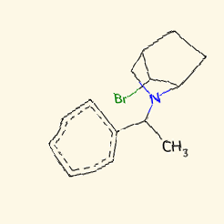 CC(c1ccccc1)N1CC2CCC1C2Br